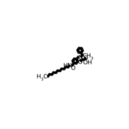 CCCCCCCCCCCCNC(=O)c1ccc(CN(C(=O)C(=O)O)[C@@H](C)c2ccccc2)cc1